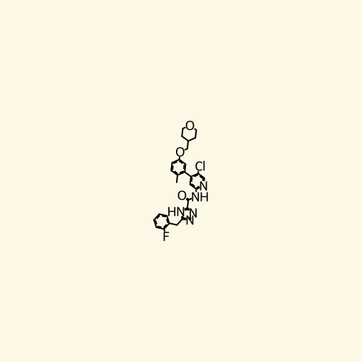 Cc1ccc(OCC2CCOCC2)cc1-c1cc(NC(=O)c2nnc(Cc3ccccc3F)[nH]2)ncc1Cl